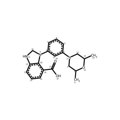 CC1CN(c2cccc(N3CNc4cccc(C(=O)O)c43)c2)CC(C)O1